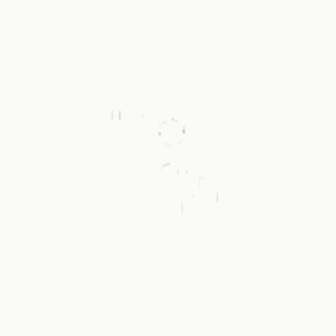 O=C(O)c1cccc(C(=O)OCC(F)(F)C(F)F)c1